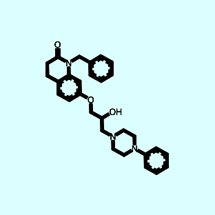 O=C1CCc2ccc(OCC(O)CN3CCN(c4ccccc4)CC3)cc2N1Cc1ccccc1